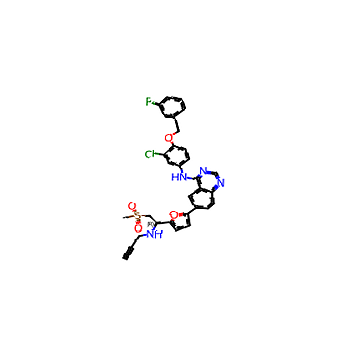 C#CCN[C@@H](CS(C)(=O)=O)c1ccc(-c2ccc3ncnc(Nc4ccc(OCc5cccc(F)c5)c(Cl)c4)c3c2)o1